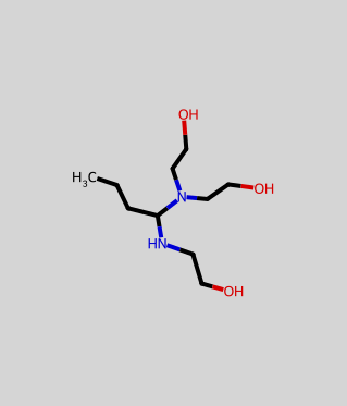 CCCC(NCCO)N(CCO)CCO